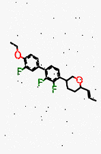 C/C=C/C1CCC(c2ccc(-c3ccc(OCC)c(F)c3)c(F)c2F)CO1